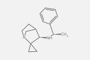 C[C@@H](N[C@@H]1C2CCN(C2)C12CC2)c1ccccc1